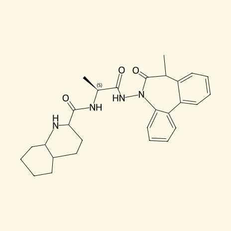 CC1C(=O)N(NC(=O)[C@H](C)NC(=O)C2CCC3CCCCC3N2)c2ccccc2-c2ccccc21